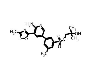 Cc1noc(-c2cc(-c3cc(C(F)(F)F)cc(S(=O)(=O)NCC(C)(C)O)c3)cnc2N)n1